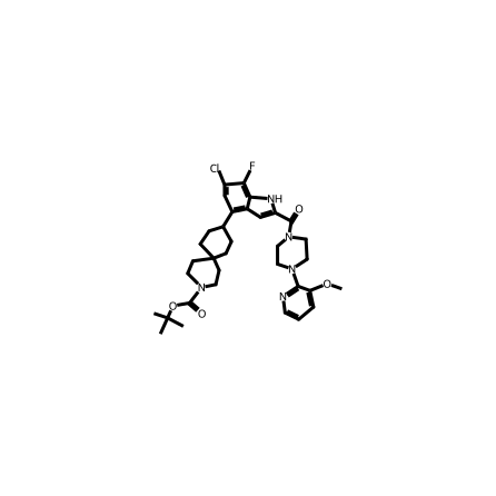 COc1cccnc1N1CCN(C(=O)c2cc3c(C4CCC5(CC4)CCN(C(=O)OC(C)(C)C)CC5)cc(Cl)c(F)c3[nH]2)CC1